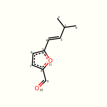 CC(C)/C=C/c1ccc(C=O)o1